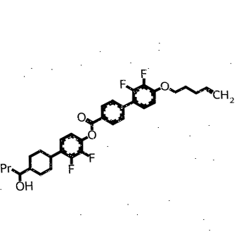 C=CCCCOc1ccc(-c2ccc(C(=O)Oc3ccc(C4CCC(C(O)CCC)CC4)c(F)c3F)cc2)c(F)c1F